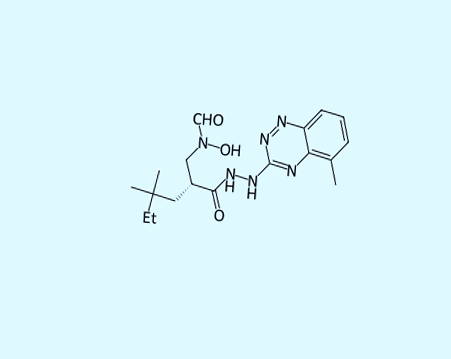 CCC(C)(C)C[C@H](CN(O)C=O)C(=O)NNc1nnc2cccc(C)c2n1